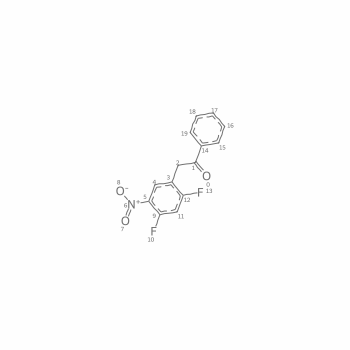 O=C(Cc1cc([N+](=O)[O-])c(F)cc1F)c1ccccc1